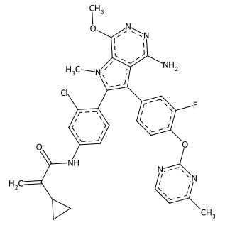 C=C(C(=O)Nc1ccc(-c2c(-c3ccc(Oc4nccc(C)n4)c(F)c3)c3c(N)nnc(OC)c3n2C)c(Cl)c1)C1CC1